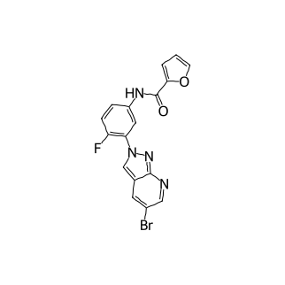 O=C(Nc1ccc(F)c(-n2cc3cc(Br)cnc3n2)c1)c1ccco1